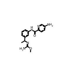 CO/C(N)=N/C(C)c1cccc(NC(=O)c2ccc(N)cn2)c1